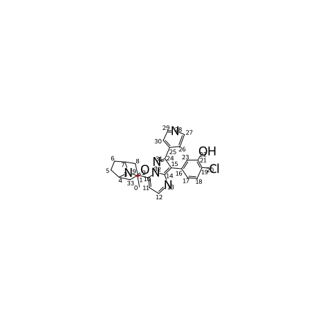 CC(=O)N1C2CCC1CC(c1ccnc3c(-c4ccc(Cl)c(O)c4)c(-c4ccncc4)nn13)C2